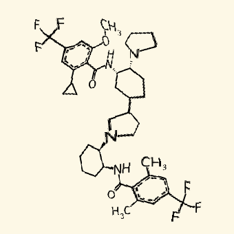 COc1cc(C(F)(F)F)cc(C2CC2)c1C(=O)N[C@H]1CC(C2CCN([C@@H]3CCCC[C@@H]3NC(=O)c3c(C)cc(C(F)(F)F)cc3C)C2)CC[C@H]1N1CCCC1